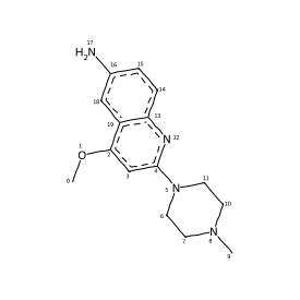 COc1cc(N2CCN(C)CC2)nc2ccc(N)cc12